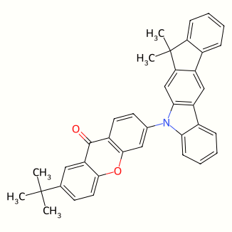 CC(C)(C)c1ccc2oc3cc(-n4c5ccccc5c5cc6c(cc54)C(C)(C)c4ccccc4-6)ccc3c(=O)c2c1